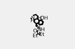 CCN(CC)C(=O)Nn1cc2c3c(c(O)ccc31)[C@H]1CCCN(C)[C@@H]1C2